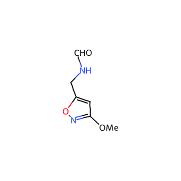 COc1cc(CNC=O)on1